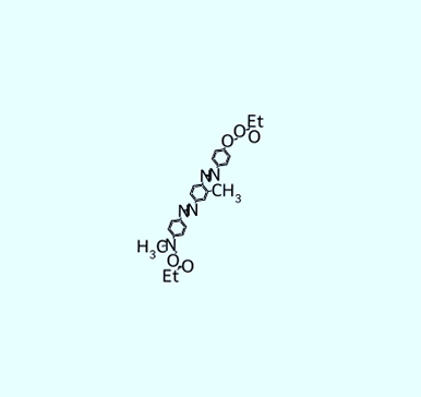 CCC(=O)OCOc1ccc(N=Nc2ccc(N=Nc3ccc(N(C)COC(=O)CC)cc3)cc2C)cc1